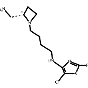 NC[C@@H]1CCN1CCCCNc1nc(F)sc1Cl